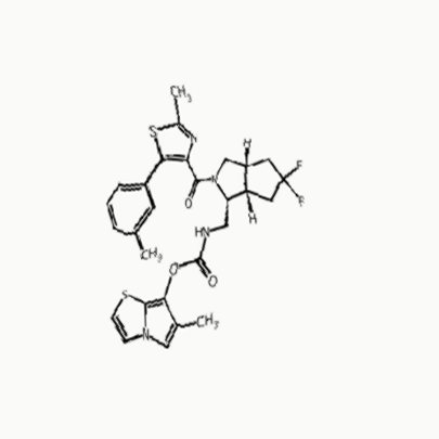 Cc1cccc(-c2sc(C)nc2C(=O)N2C[C@@H]3CC(F)(F)C[C@@H]3[C@H]2CNC(=O)Oc2c(C)cn3ccsc23)c1